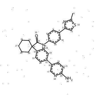 Cc1nc(-c2ccc(NC(=O)C3(c4ccc(-c5cnc(N)nc5)cc4)CCCCC3)cc2)cs1